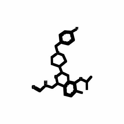 Cc1ccc2c(c1OC(C)C)CC(C1CCN(Cc3ccc(F)cc3)CC1)OC2CNC=O